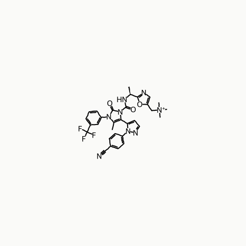 Cc1c(-c2ccnn2-c2ccc(C#N)cc2)n(C(=O)N[C@@H](C)c2ncc(C[N+](C)(C)C)o2)c(=O)n1-c1cccc(C(F)(F)F)c1